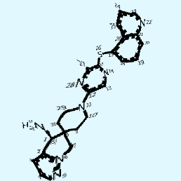 N[C@@H]1c2ccnn2CC12CCN(c1cnc(Sc3cccc4ncccc34)cn1)CC2